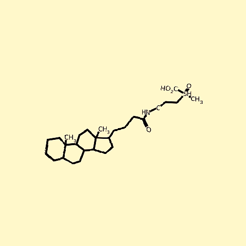 CC12CCCCC1CCC1C2CCC2(C)C(CCCC(=O)NCCC[SH](C)(=O)C(=O)O)CCC12